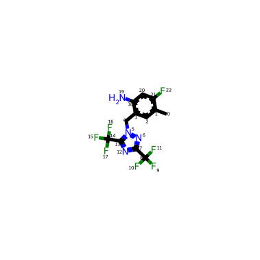 Cc1cc(Cn2nc(C(F)(F)F)nc2C(F)(F)F)c(N)cc1F